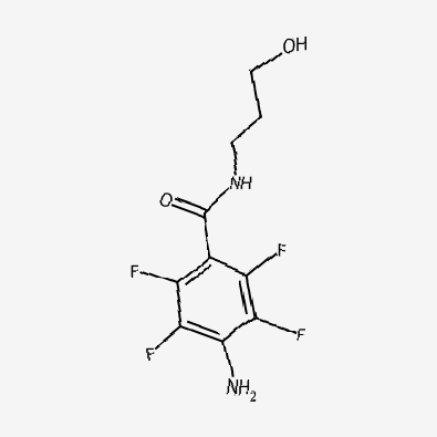 Nc1c(F)c(F)c(C(=O)NCCCO)c(F)c1F